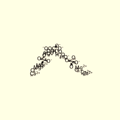 O.O.O.O=C([O-])[O-].O=C([O-])[O-].O=S(=O)([O-])[O-].O=S(=O)([O-])[O-].[Ca+2].[Ca+2].[Ca+2].[Cl-].[Cl-].[Mg+2].[Mg+2].[Mg+2].[OH-].[OH-]